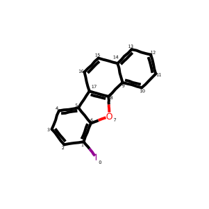 Ic1cccc2c1oc1c3ccccc3ccc21